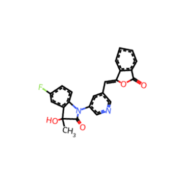 CC1(O)C(=O)N(c2cncc(C=C3OC(=O)c4ccccc43)c2)c2ccc(F)cc21